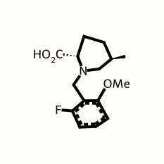 COc1cccc(F)c1CN1C[C@H](C)CC[C@H]1C(=O)O